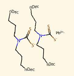 CCCCCCCCCCCCCN(CCCCCCCCCCCCC)C(=S)[S-].CCCCCCCCCCCCCN(CCCCCCCCCCCCC)C(=S)[S-].[Pb+2]